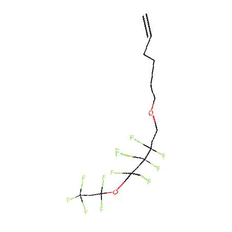 C=CCCCCOCC(F)(F)C(F)(F)C(F)(F)OC(F)(F)C(F)(F)F